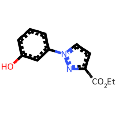 CCOC(=O)c1ccn(-c2cccc(O)c2)n1